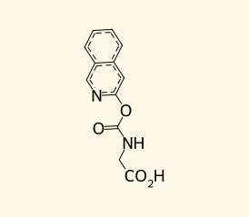 O=C(O)CNC(=O)Oc1cc2ccccc2cn1